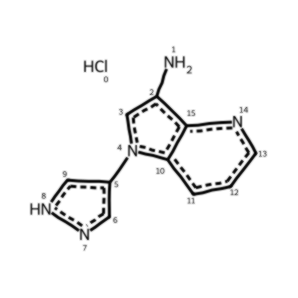 Cl.Nc1cn(-c2cn[nH]c2)c2cccnc12